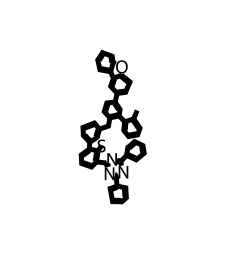 Cc1ccccc1-c1cc(-c2ccc3oc4ccccc4c3c2)ccc1Cc1cccc2c1sc1c(-c3nc(-c4ccccc4)nc(-c4ccccc4)n3)cccc12